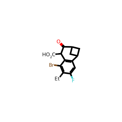 CCc1c(F)cc2c(c1Br)C(C(=O)O)C(=O)C1CC2C1